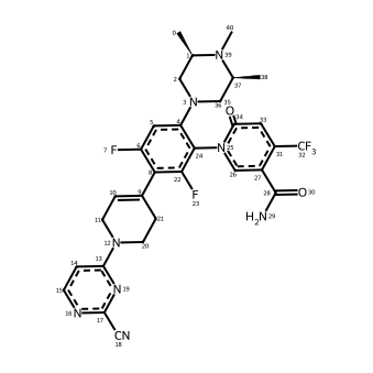 C[C@@H]1CN(c2cc(F)c(C3=CCN(c4ccnc(C#N)n4)CC3)c(F)c2-n2cc(C(N)=O)c(C(F)(F)F)cc2=O)C[C@H](C)N1C